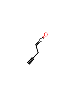 C#CCC=C=O